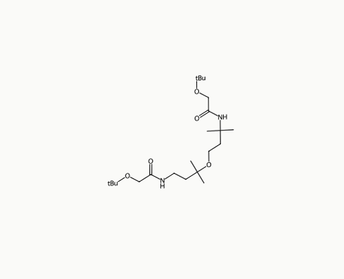 CC(C)(CCOC(C)(C)CCNC(=O)COC(C)(C)C)NC(=O)COC(C)(C)C